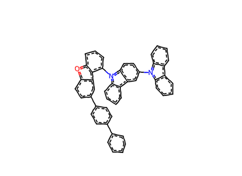 c1ccc(-c2ccc(-c3ccc4oc5cccc(-n6c7ccccc7c7cc(-n8c9ccccc9c9ccccc98)ccc76)c5c4c3)cc2)cc1